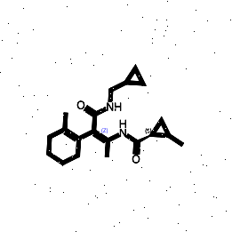 CC1=C(/C(C(=O)NCC2CC2)=C(\C)NC(=O)[C@H]2CC2C)CCCC1